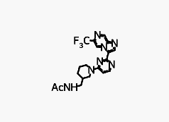 CC(=O)NCC1CCCN(c2ccnc(-c3cnc4cnc(C(F)(F)F)cn34)n2)C1